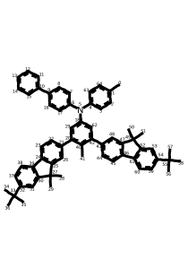 Cc1ccc(N(c2ccc(-c3ccccc3)cc2)c2cc(-c3ccc4c(c3)C(C)(C)c3cc(C(C)(C)C)ccc3-4)c(C)c(-c3ccc4c(c3)C(C)(C)c3cc(C(C)(C)C)ccc3-4)c2)cc1